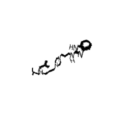 CC(C)CN(CCCN1CCN(CCCNc2nc3ccccc3[nH]2)CC1)CC(C)C